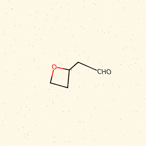 O=CC[C]1CCO1